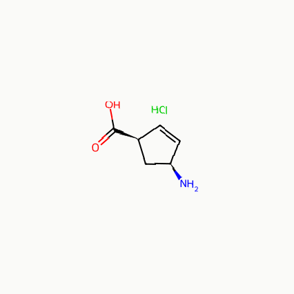 Cl.N[C@@H]1C=C[C@H](C(=O)O)C1